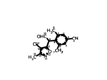 Cc1cc(C#N)cc(C)c1[C](C=O)c1onc(C)c1Cl